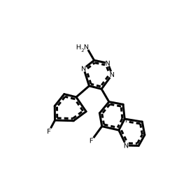 Nc1nnc(-c2cc(F)c3ncccc3c2)c(-c2ccc(F)cc2)n1